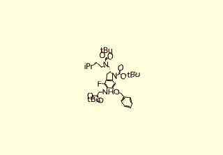 CC(C)CCN(C[C@H]1Cc2c(cc(OCc3ccccc3)c(NCC(=O)OC(C)(C)C)c2F)N1C(=O)OC(C)(C)C)C(=O)OC(C)(C)C